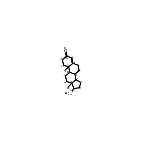 CC(=O)OC1CCC2C3CCC4=CC(=O)CCC4(C)C3CCC12C